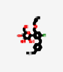 C#CCOCc1cc(Cl)c(Cc2ccc(CC)cc2)cc1C1O[C@H](CO)[C@@H](O)[C@H](O)C1O